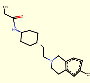 N#CCC(=O)N[C@H]1CC[C@H](CCN2CCc3cc(C#N)ccc3C2)CC1